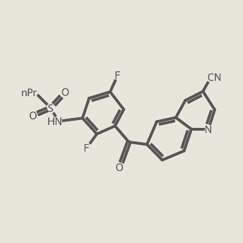 CCCS(=O)(=O)Nc1cc(F)cc(C(=O)c2ccc3ncc(C#N)cc3c2)c1F